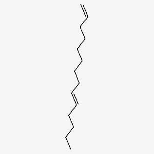 [CH]=CCCCCCCC=CCCCC